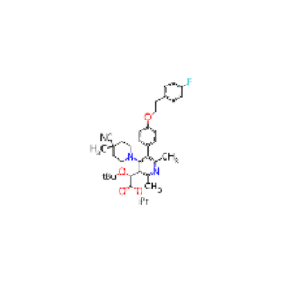 Cc1nc(C)c(C(OC(C)(C)C)C(=O)OC(C)C)c(N2CCC(C)(C#N)CC2)c1-c1ccc(OCCc2ccc(F)cc2)cc1